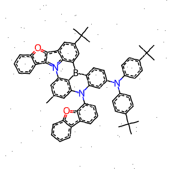 Cc1cc2c3c(c1)-n1c4c(cc(C(C)(C)C)cc4c4oc5ccccc5c41)B3c1ccc(N(c3ccc(C(C)(C)C)cc3)c3ccc(C(C)(C)C)cc3)cc1N2c1cccc2c1oc1ccccc12